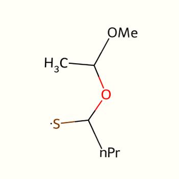 CCCC([S])OC(C)OC